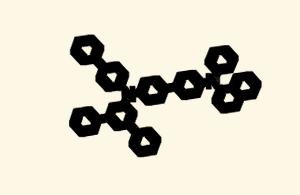 c1ccc(-c2ccc(N(c3ccc(-c4ccc(N(c5ccccc5)c5cccc6ccccc56)cc4)cc3)c3cc(-c4ccccc4)cc(-c4ccccc4)c3)cc2)cc1